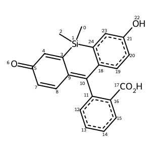 C[Si]1(C)C2=CC(=O)C=CC2=C(c2ccccc2C(=O)O)c2ccc(O)cc21